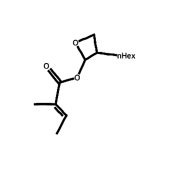 CC=C(C)C(=O)OC1OCC1CCCCCC